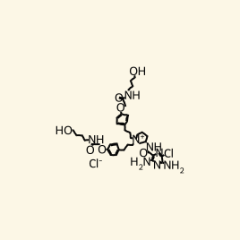 Nc1nc(N)c(C(=O)N[C@H]2CCC[N+](CCCc3ccc(OCC(=O)NCCCCO)cc3)(CCCc3ccc(OCC(=O)NCCCCO)cc3)C2)nc1Cl.[Cl-]